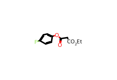 CCOC(=O)CC(=O)Oc1ccc(F)cc1